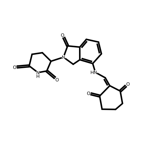 O=C1CCC(N2Cc3c(NC=C4C(=O)CCCC4=O)cccc3C2=O)C(=O)N1